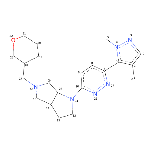 Cc1cnn(C)c1-c1ccc(N2CCC3CN(CC4CCCOC4)CC32)nn1